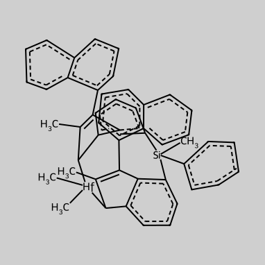 CC1=C(c2cccc3ccccc23)c2c3cccc2[Si](C)(c2ccccc2)c2cccc4c2C(c2cccc5ccccc25)=C(C)[CH]4[Hf]([CH3])([CH3])[CH]13